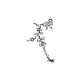 CCCO[C@H](C[C@H](C(C)C)N(CCC)C(=O)[C@@H](NC(=O)[C@H]1CCCCN1C)[C@@H](C)CC)c1nc(C(=O)N[C@@H](CCc2ccc(O)cc2)C[C@H](C)C(=O)NNC(=O)OCCOCCOCCN=[N+]=[N-])cs1